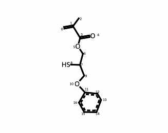 C=C(C)C(=O)OCC(S)COc1ccccc1